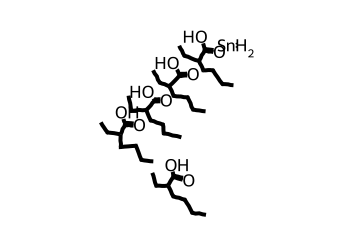 CCCCC(CC)C(=O)O.CCCCC(CC)C(=O)O.CCCCC(CC)C(=O)O.CCCCC(CC)C(=O)O.CCCCC(CC)C(=O)O.[SnH2]